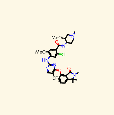 COc1cc(C(=O)N[C@@H]2CCN(C)CC2OC)c(Cl)cc1Nc1ncc(C(F)(F)F)c(Oc2cccc3c2C(=O)N(C)C3(C)C)n1